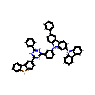 c1ccc(-c2ccc3c(c2)c2ccc(-n4c5ccccc5c5ccccc54)cc2n3-c2cccc(-c3nc(-c4ccccc4)nc(-c4ccc5sc6ccccc6c5c4)n3)c2)cc1